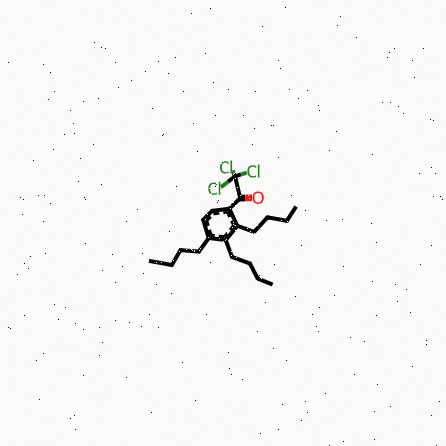 CCCCc1ccc(C(=O)C(Cl)(Cl)Cl)c(CCCC)c1CCCC